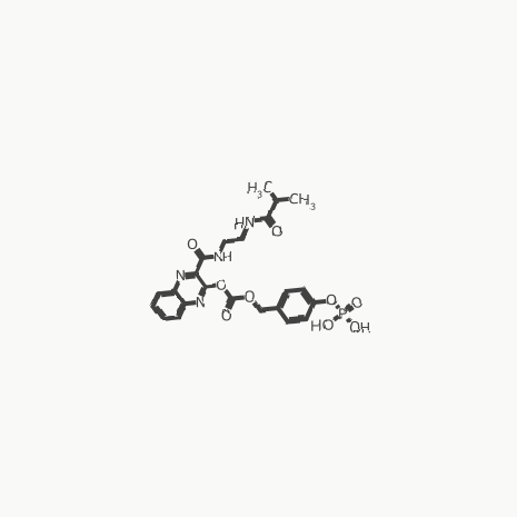 CC(C)C(=O)NCCNC(=O)c1nc2ccccc2nc1OC(=O)OCc1ccc(OP(=O)(O)O)cc1